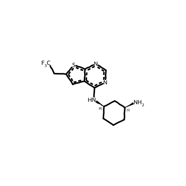 N[C@H]1CCC[C@@H](Nc2ncnc3sc(CC(F)(F)F)cc23)C1